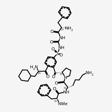 CN[C@@H](Cc1ccccc1)C(=O)N[C@@H](CCCCN)C(=O)N1CCC[C@H]1C(=O)c1cc(S(=O)(=O)NC(=O)NC(=O)[C@@H](N)Cc2ccccc2)ccc1C(=O)[C@H](N)CC1CCCCC1